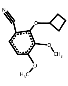 COc1ccc(C#N)c(OC2CCC2)c1OC